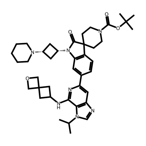 CC(C)n1cnc2cc(-c3ccc4c(c3)N([C@H]3C[C@@H](N5CCCCC5)C3)C(=O)C43CCN(C(=O)OC(C)(C)C)CC3)nc(NC3CC4(COC4)C3)c21